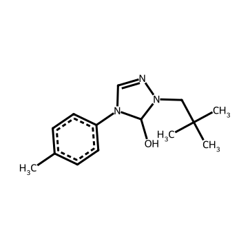 Cc1ccc(N2C=NN(CC(C)(C)C)C2O)cc1